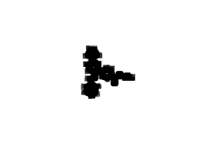 CC(C)(C)OC(=O)N1CCN(c2cc(N3CCCC3)ccc2OCc2ccccc2)CC1